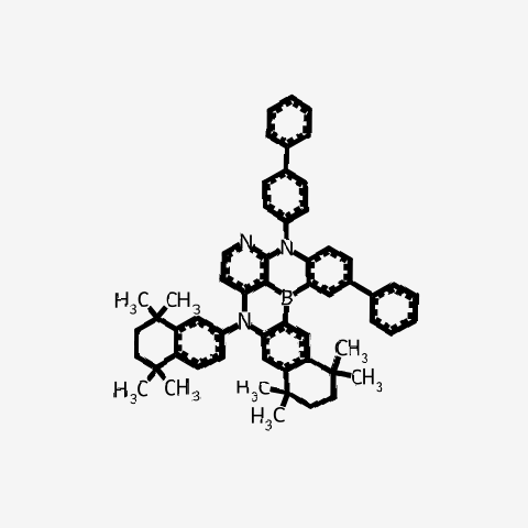 CC1(C)CCC(C)(C)c2cc(N3c4cc5c(cc4B4c6cc(-c7ccccc7)ccc6N(c6ccc(-c7ccccc7)cc6)c6nccc3c64)C(C)(C)CCC5(C)C)ccc21